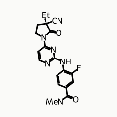 CC[C@]1(C#N)CCN(c2ccnc(Nc3ccc(C(=O)NC)cc3F)n2)C1=O